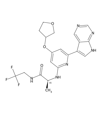 C[C@H](Nc1cc(OC2CCOC2)cc(-c2c[nH]c3ncncc23)n1)C(=O)NCC(F)(F)F